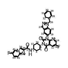 O=C(N[C@H]1CC[C@@H](n2c(=O)c3cc(F)cnc3n(-c3ccc4c(cnn4CC4C=CC=CC4)c3)c2=O)CC1)c1cn2cc(F)ccc2n1